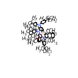 Cc1cc2c(cc1N1c3cc(N(c4ccc(C(C)(C)C)cc4)c4ccc(C(C)(C)C)cc4)ccc3B3c4cc5c(cc4N(c4ccc(C(C)(C)C)cc4-c4ccccc4)c4cc(C(C)(C)C)cc1c43)C(C)(C)c1ccccc1C5(C)C)C(C)(C)CC2(C)C